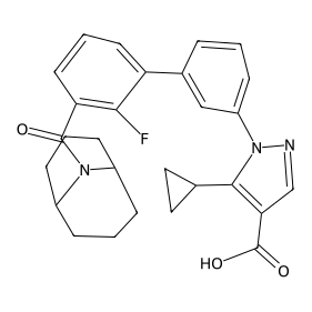 O=C(O)c1cnn(-c2cccc(-c3cccc(C(=O)N4C5CCCC4CCC5)c3F)c2)c1C1CC1